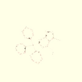 CCOc1nc(C(c2ccccc2)(c2ccccc2)c2ccccc2)nc2[nH]nc(I)c12